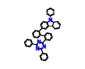 C1=CC2c3cc(-c4ccccc4-c4ccccc4-c4nc(-c5ccccc5)nc(-c5ccccc5)n4)ccc3N(c3ccccc3)C2C=C1